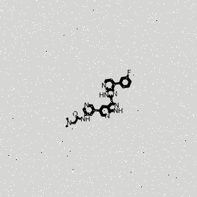 CN(C)CC(=O)Nc1cncc(-c2cnc3[nH]nc(-c4nc5c(-c6cccc(F)c6)ccnc5[nH]4)c3c2)c1